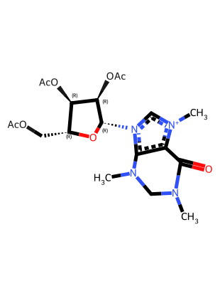 CC(=O)OC[C@H]1O[C@@H](n2c[n+](C)c3c2N(C)CN(C)C3=O)[C@H](OC(C)=O)[C@@H]1OC(C)=O